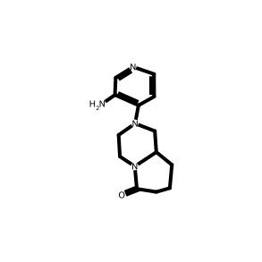 Nc1cnccc1N1CCN2C(=O)CCCC2C1